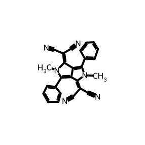 Cn1c(-c2ccccc2)c2c(=C(C#N)C#N)n(C)c(-c3ccccc3)c2c1=C(C#N)C#N